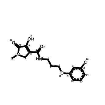 CN1CC(C(=O)NCCCOc2cccc(Cl)c2)=C(O)C1=O